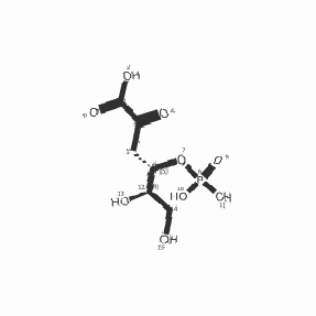 O=C(O)C(=O)C[C@H](OP(=O)(O)O)[C@H](O)CO